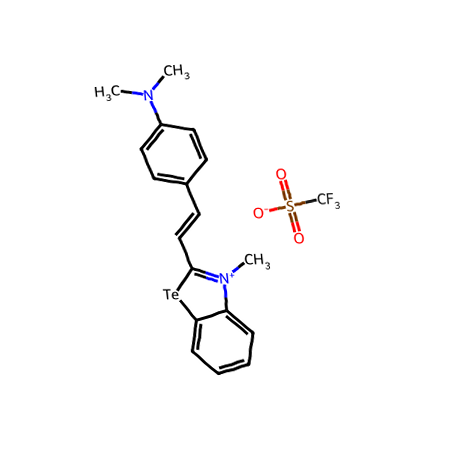 CN(C)c1ccc(/C=C/c2[te]c3ccccc3[n+]2C)cc1.O=S(=O)([O-])C(F)(F)F